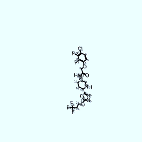 O=C(COc1ccc(Cl)c(F)c1F)N[Si@H]1CC[C@H](c2nnc(OCCC(F)(F)F)o2)NC1